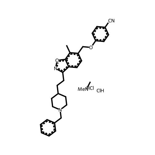 CNC.Cc1c(COc2ccc(C#N)cc2)ccc2c(CCC3CCN(Cc4ccccc4)CC3)noc12.Cl.Cl